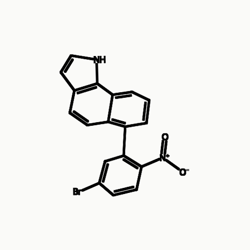 O=[N+]([O-])c1ccc(Br)cc1-c1cccc2c1ccc1cc[nH]c12